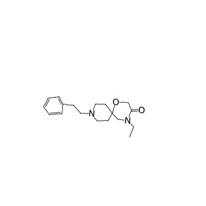 CCN1CC2(CCN(CCc3ccccc3)CC2)OCC1=O